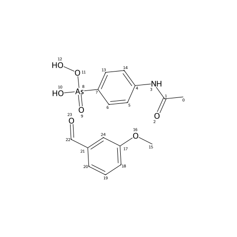 CC(=O)Nc1ccc([As](=O)(O)OO)cc1.COc1cccc(C=O)c1